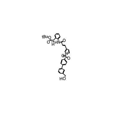 CC(C)(C)OC(=O)Nc1ccccc1NC(=O)C=Cc1ccn(S(=O)(=O)c2ccc(-c3cccc(CO)c3)cc2)c1